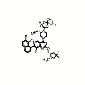 CN1CC(F)(F)C[C@H]1COc1nc(N2CCN(C(=O)OC(C)(C)C)[C@@H](CC#N)C2)c2cnc(-c3cccc4ccc(F)c(Cl)c34)c(F)c2n1